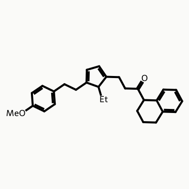 CCC1C(CCC(=O)C2CCCc3ccccc32)=CC=C1CCc1ccc(OC)cc1